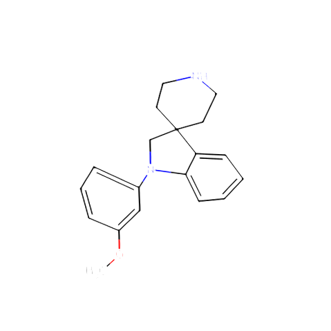 COc1cccc(N2CC3(CCNCC3)c3ccccc32)c1